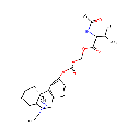 CC(=O)NC(C(=O)OCOC(=O)Oc1ccc2c(c1)[C@]13CCCC[C@@H]1C(C2)N(C)CC3)C(C)C